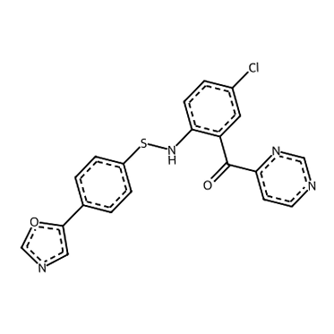 O=C(c1ccncn1)c1cc(Cl)ccc1NSc1ccc(-c2cnco2)cc1